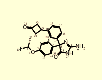 NC1=NC(c2ccc(OC(F)F)cc2)(c2cccc(C3CC(=O)C3)c2)C(=O)N1